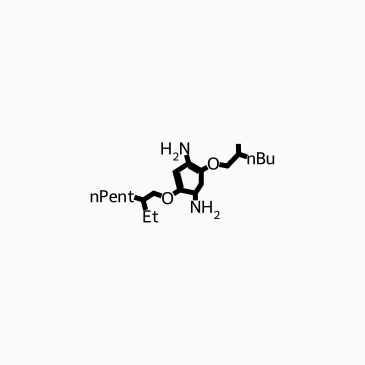 CCCCCC(CC)COC1=CC(N)=C(OCC(C)CCCC)CC1N